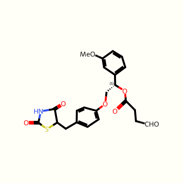 COc1cccc([C@@H](COc2ccc(CC3SC(=O)NC3=O)cc2)OC(=O)CCC=O)c1